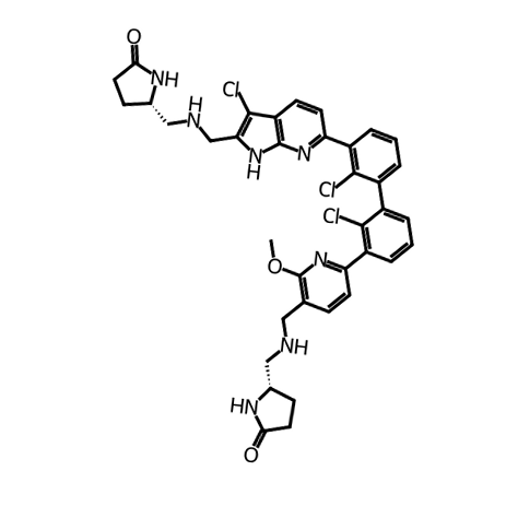 COc1nc(-c2cccc(-c3cccc(-c4ccc5c(Cl)c(CNC[C@@H]6CCC(=O)N6)[nH]c5n4)c3Cl)c2Cl)ccc1CNC[C@@H]1CCC(=O)N1